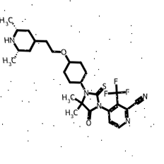 C[C@@H]1CC(CCOC2CCC(N3C(=S)N(c4ccnc(C#N)c4C(F)(F)F)C(=O)C3(C)C)CC2)C[C@H](C)N1